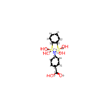 O=C(O)c1ccc(N2S(O)(O)c3ccccc3S2(O)O)cc1